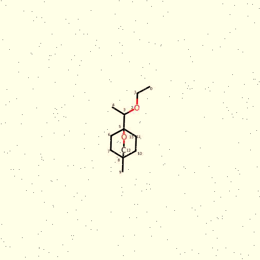 CCOC(C)C12CCC(C)(CC1)CO2